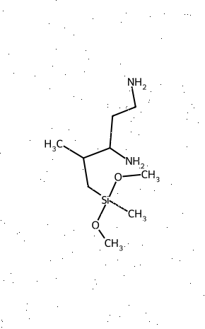 CO[Si](C)(CC(C)C(N)CCN)OC